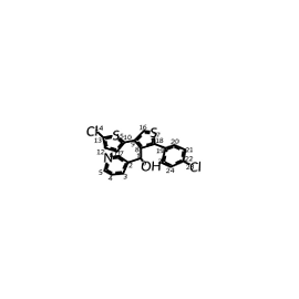 OC(c1cccnc1)c1c(-c2ccc(Cl)s2)csc1-c1ccc(Cl)cc1